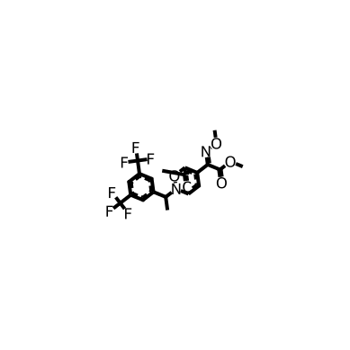 CON=C(C(=O)OC)c1cc2cc(C)c1ON2C(C)c1cc(C(F)(F)F)cc(C(F)(F)F)c1